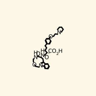 O=C(O)C[C@@H](CCCc1ccc(OCCCN2CCCCC2)cc1)C(=O)NC1Cc2cn(c3ccccc23)CCOCCNC1=O